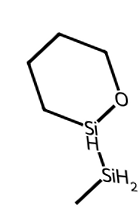 C[SiH2][SiH]1CCCCO1